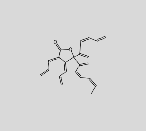 C=C/C=C\C(=C)C1(C(=C)/C=C\C=C/C)OC(=O)C(=C/C=C)/C1=C\C=C